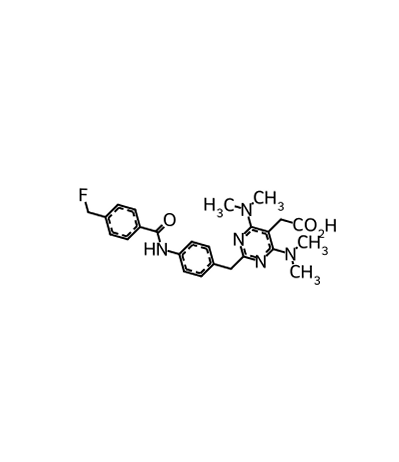 CN(C)c1nc(Cc2ccc(NC(=O)c3ccc(CF)cc3)cc2)nc(N(C)C)c1CC(=O)O